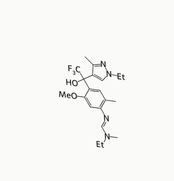 CCN(C)/C=N/c1cc(OC)c(C(O)(c2cn(CC)nc2C)C(F)(F)F)cc1C